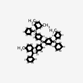 CC1=C[C@H](C)CC(N(c2ccccc2)c2ccc(N(c3ccc(C[C@@H](c4ccccc4)c4cccc(C)c4)cc3)c3ccc(N(c4ccccc4)c4cccc(C)c4)cc3)cc2)=C1